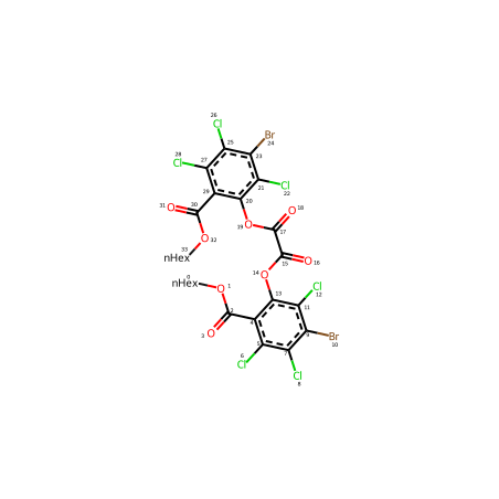 CCCCCCOC(=O)c1c(Cl)c(Cl)c(Br)c(Cl)c1OC(=O)C(=O)Oc1c(Cl)c(Br)c(Cl)c(Cl)c1C(=O)OCCCCCC